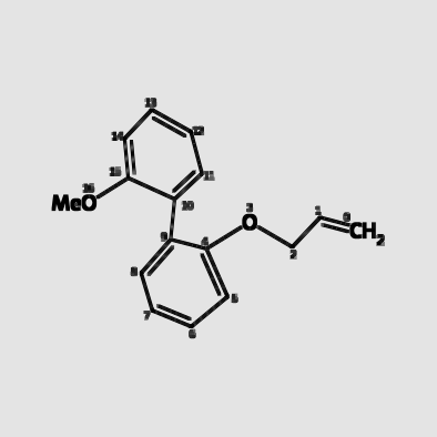 C=CCOc1ccccc1-c1ccccc1OC